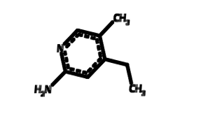 CCc1cc(N)ncc1C